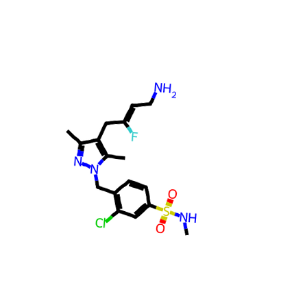 CNS(=O)(=O)c1ccc(Cn2nc(C)c(CC(F)=CCN)c2C)c(Cl)c1